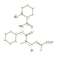 CCOC(=O)/C(C)=C/[C@H](C(C)C)N(C)C(=O)[C@@H](NC(=O)C1CCCCN1C(C)CC)C1CCCCC1